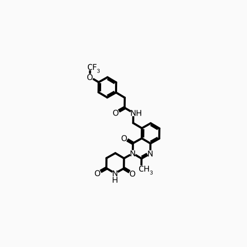 Cc1nc2cccc(CNC(=O)Cc3ccc(OC(F)(F)F)cc3)c2c(=O)n1C1CCC(=O)NC1=O